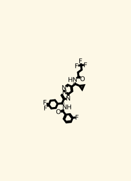 O=C(CCC(F)(F)F)N[C@@H](c1cnn2cc([C@@H](NC(=O)c3cccc(F)c3)C3CCC(F)(F)CC3)nc2c1)C1CC1